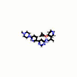 CC(CNc1cc(-c2ccc(N3CCN(C)CC3)nc2)ncn1)c1cnccc1OC1CC1